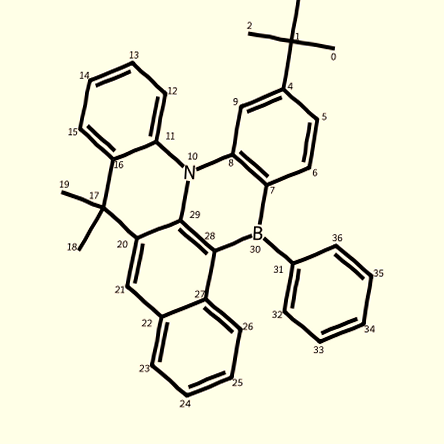 CC(C)(C)c1ccc2c(c1)N1c3ccccc3C(C)(C)c3cc4ccccc4c(c31)B2c1ccccc1